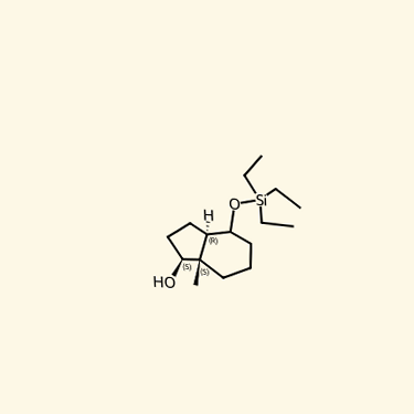 CC[Si](CC)(CC)OC1CCC[C@]2(C)[C@@H](O)CC[C@@H]12